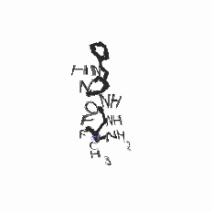 C/C(N)=C(/C(=N)C(=O)Nc1cnc2[nH]c(-c3ccccc3)cc2c1)C(F)F